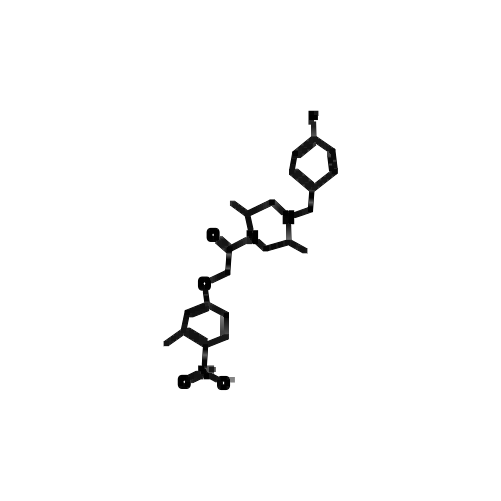 Cc1cc(OCC(=O)N2CC(C)N(Cc3ccc(F)cc3)CC2C)ccc1[N+](=O)[O-]